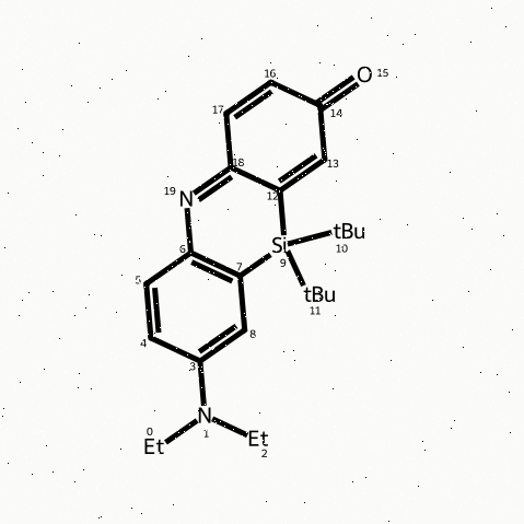 CCN(CC)c1ccc2c(c1)[Si](C(C)(C)C)(C(C)(C)C)C1=CC(=O)C=CC1=N2